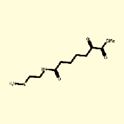 COC(=O)C(=O)CCCCC(=O)NCCSN